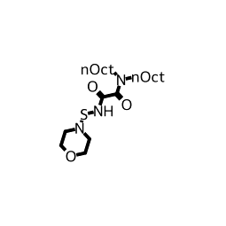 CCCCCCCCN(CCCCCCCC)C(=O)C(=O)NSN1CCOCC1